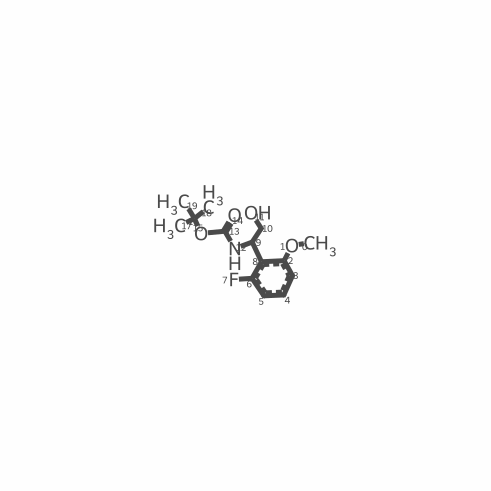 COc1cccc(F)c1C(CO)NC(=O)OC(C)(C)C